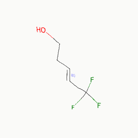 OCC/C=C/C(F)(F)F